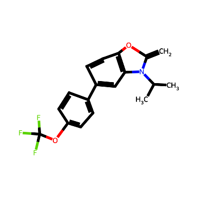 C=C1Oc2ccc(-c3ccc(OC(F)(F)F)cc3)cc2N1C(C)C